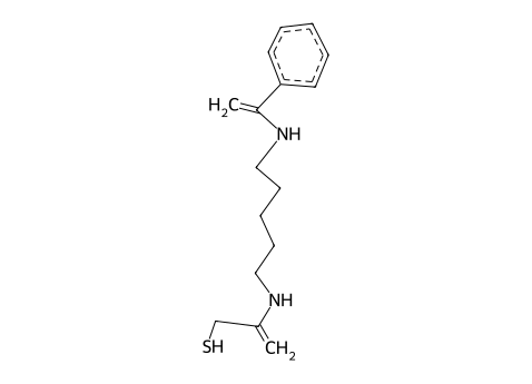 C=C(CS)NCCCCCNC(=C)c1ccccc1